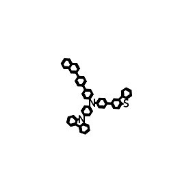 c1ccc2cc(-c3ccc(-c4ccc(N(c5ccc(-c6ccc7sc8ccccc8c7c6)cc5)c5ccc(-n6c7ccccc7c7ccccc76)cc5)cc4)cc3)ccc2c1